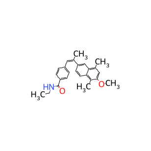 CCNC(=O)c1ccc(/C=C(/C)c2ccc3c(C)c(OC)cc(C)c3c2)cc1